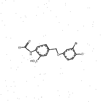 CCC(=O)Nc1ccc(COc2ccc(Cl)c(Br)c2)cc1C(=O)O